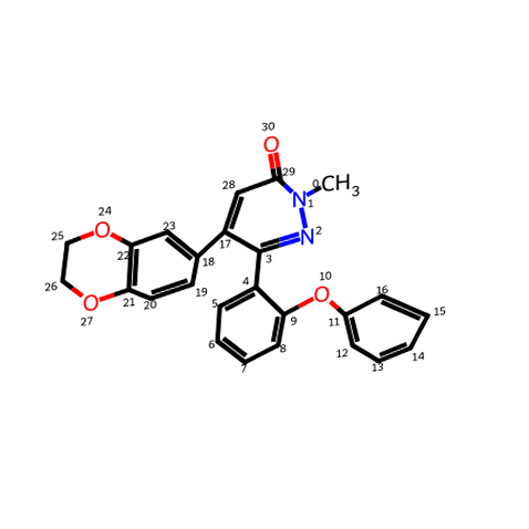 Cn1nc(-c2ccccc2Oc2ccccc2)c(-c2ccc3c(c2)OCCO3)cc1=O